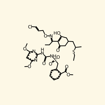 CCSC(C)CC1CC(=O)C(/C(CC)=N/OC/C=C/Cl)=C(O)C1.COC(=O)c1ccccc1CS(=O)(=O)NC(=O)Nc1nc(OC)cc(OC)n1